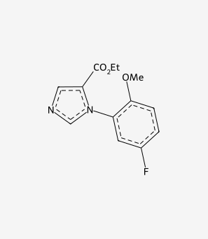 CCOC(=O)c1cncn1-c1cc(F)ccc1OC